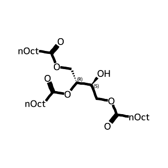 CCCCCCCCC(=O)OC[C@H](O)[C@@H](COC(=O)CCCCCCCC)OC(=O)CCCCCCCC